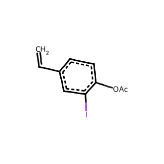 C=Cc1ccc(OC(C)=O)c(I)c1